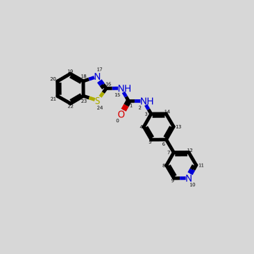 O=C(Nc1ccc(-c2ccncc2)cc1)Nc1nc2ccccc2s1